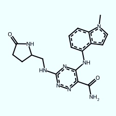 Cn1ccc2c(Nc3nc(NCC4CCC(=O)N4)nnc3C(N)=O)cccc21